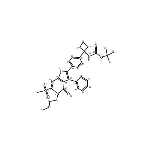 COCCn1c(S(C)(=O)=O)nc2oc(-c3ccc(C4(NC(=O)OC(C)(C)C)CCC4)cc3)c(-c3ccccc3)c2c1=O